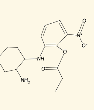 CCC(=O)Oc1c(NC2CCCCC2N)cccc1[N+](=O)[O-]